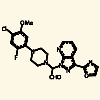 COc1cc(N2CCN(C(C=O)n3nc(-c4ncco4)c4cccnc43)CC2)c(F)cc1Cl